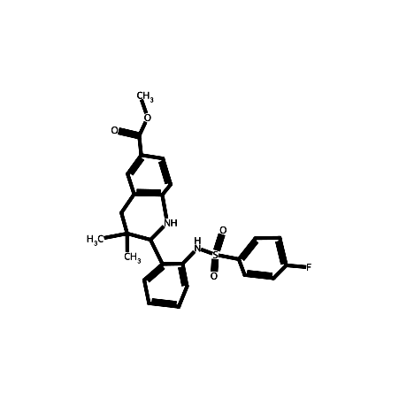 COC(=O)c1ccc2c(c1)CC(C)(C)C(c1ccccc1NS(=O)(=O)c1ccc(F)cc1)N2